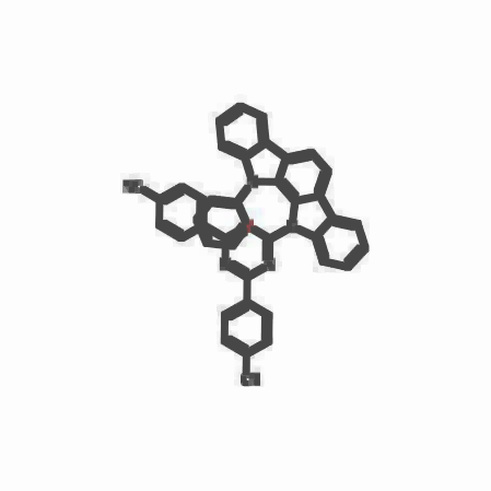 N#Cc1ccc(-c2nc(-c3ccc(C#N)cc3)nc(-n3c4ccccc4c4ccc5c6ccccc6n(-c6ccccc6)c5c43)n2)cc1